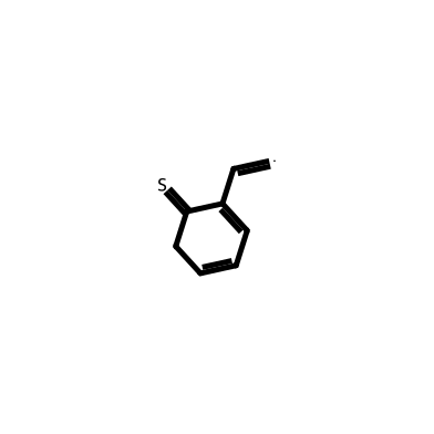 [CH]=CC1=CC=CCC1=S